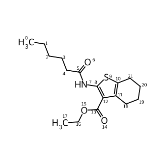 CCCCCC(=O)Nc1sc2c(c1C(=O)OCC)CCCC2